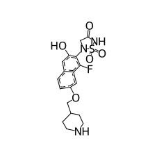 O=C1CN(c2c(O)cc3ccc(OCC4CCNCC4)cc3c2F)S(=O)(=O)N1